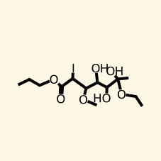 CCCOC(=O)C(I)C(OC)C(O)C(O)C(C)(O)OCC